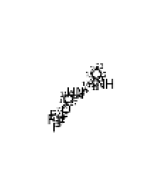 FC(F)(F)C(F)(F)COc1cccc(CNCCc2c[nH]c3ccccc23)c1